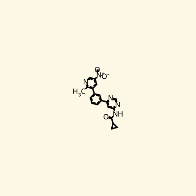 Cc1ncc([N+](=O)[O-])cc1-c1cccc(-c2cc(NC(=O)C3CC3)ncn2)c1